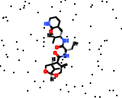 C=C1CO[C@H]2OC[C@H](C2C)[C@H]1C(=O)N[C@@H](CC(C)C)C(=O)N[C@@H](C[C@@H]1CCCNC1=O)C(C)C#N